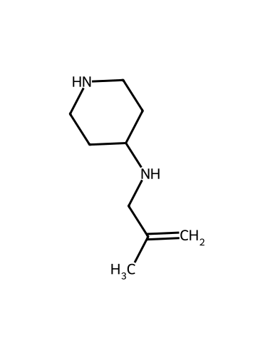 C=C(C)CNC1CCNCC1